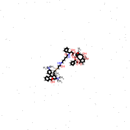 CC(=O)O[C@@]12CO[C@@H]1C[C@H](O)[C@@]1(C)C(=O)[C@H](O)C3=C(C)C(OC(=O)[C@H](O)[C@@H](NC(=O)CCCCCNC(O)CCSCC[Si]4(C)C5=CC(=[N+](C)C)C=CC5=C(c5ccccc5C(=O)O)c5ccc(N(C)C)cc54)c4ccccc4)C[C@@](O)([C@@H](OC(=O)c4ccccc4)C12)C3(C)C